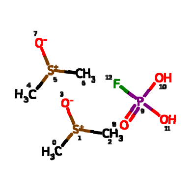 C[S+](C)[O-].C[S+](C)[O-].O=P(O)(O)F